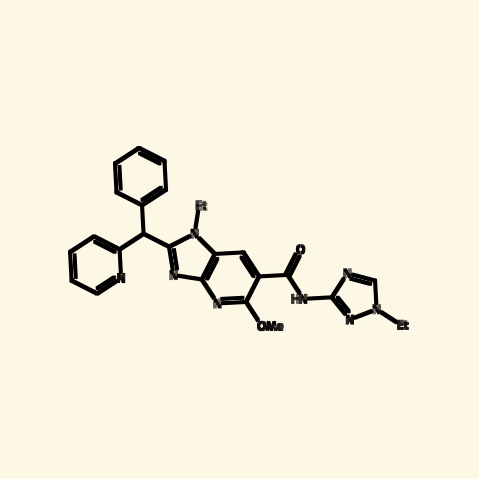 CCn1cnc(NC(=O)c2cc3c(nc2OC)nc(C(c2ccccc2)c2ccccn2)n3CC)n1